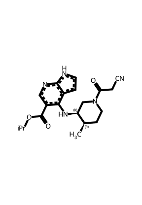 CC(C)OC(=O)c1cnc2[nH]ccc2c1N[C@H]1CN(C(=O)CC#N)CC[C@H]1C